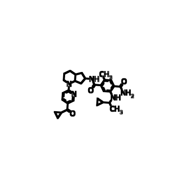 Cc1cc(C(N)=O)c(NC(C)C2CC2)cc1C(=O)NC1CC2CCCN(c3ccc(C(=O)C4CC4)cn3)C2C1